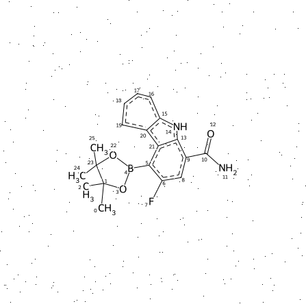 CC1(C)OB(c2c(F)cc(C(N)=O)c3[nH]c4ccccc4c23)OC1(C)C